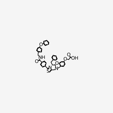 O=C(O)COc1ccc(CN(Cc2csc(-c3ccc(C(=O)NCc4ccc(Oc5ccccc5)cc4)cc3)n2)C(=O)CCc2ccccc2)cc1